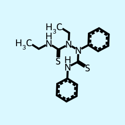 CCNC(=S)N(CC)N(C(=S)Nc1ccccc1)c1ccccc1